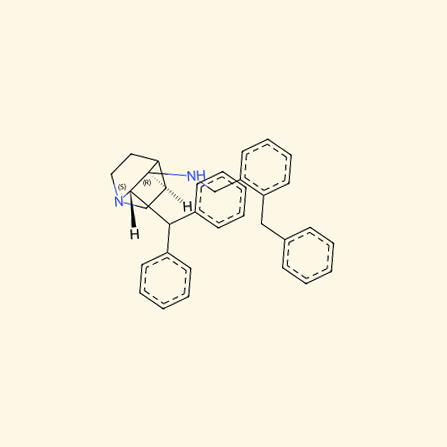 c1ccc(Cc2ccccc2CN[C@@H]2C3CCN(CC3)[C@H]2C(c2ccccc2)c2ccccc2)cc1